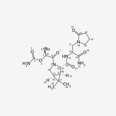 CC(C)(C)[C@H](OC(N)=O)C(=O)N1C[C@H]2[C@@H]([C@H]1C(=O)NC(CN1CCCC1=O)C(N)=O)C2(C)C